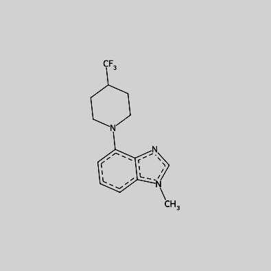 Cn1cnc2c(N3CCC(C(F)(F)F)CC3)cccc21